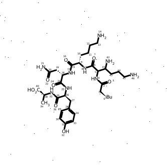 CC[C@H](C)CC(=O)NC(C(=O)N[C@@H](CCCCN)C(=O)N[C@@H](CC(N)=O)C(=O)N[C@@H](Cc1ccc(O)cc1)C(=O)N[C@@H](C)C(=O)O)C(N)CCCN